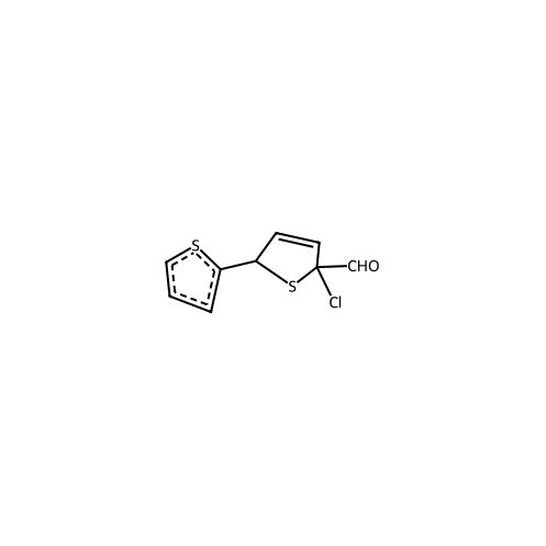 O=CC1(Cl)C=CC(c2cccs2)S1